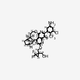 Nc1cc(Cl)c(C(F)(F)F)c(-c2nc3c4c(nc(OCC5(CO)CC5(F)F)nc4c2F)N2C[C@H]4CC[C@H](N4)[C@H]2CCO3)c1